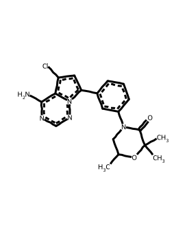 CC1CN(c2cccc(-c3cc(Cl)c4c(N)ncnn34)c2)C(=O)C(C)(C)O1